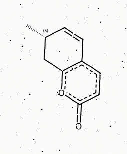 C[C@@H]1C=Cc2ccc(=O)oc2C1